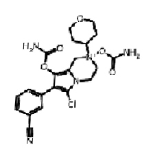 N#Cc1cccc(-c2c(OC(N)=O)c3n(c2Cl)CC[N+](OC(N)=O)(C2CCOCC2)C3)c1